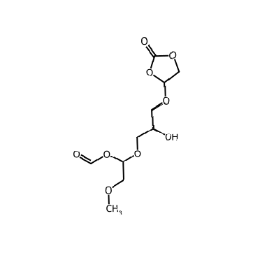 COCC(OC=O)OCC(O)COC1COC(=O)O1